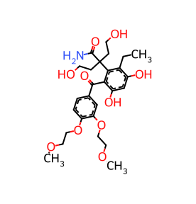 CCc1c(O)cc(O)c(C(=O)c2ccc(OCCOC)c(OCCOC)c2)c1C(CCO)(CCO)C(N)=O